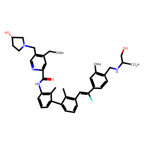 COCc1cc(C(=O)Nc2cccc(-c3cccc(/C=C(\F)c4ccc(CNC(CO)C(=O)O)c(OC)c4)c3C)c2C)ncc1CN1CC[C@H](O)C1